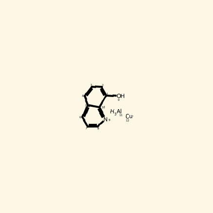 Oc1cccc2cccnc12.[AlH3].[Cu]